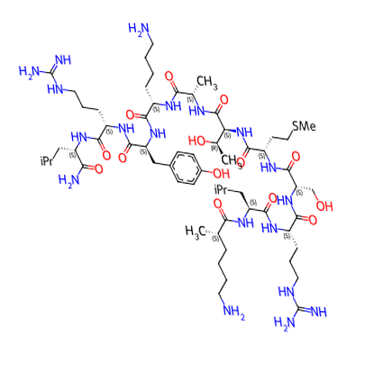 CSCC[C@H](NC(=O)[C@H](CO)NC(=O)[C@H](CCCNC(=N)N)NC(=O)[C@H](CC(C)C)NC(=O)[C@@H](C)CCCCN)C(=O)N[C@H](C(=O)N[C@@H](C)C(=O)N[C@@H](CCCCN)C(=O)N[C@@H](Cc1ccc(O)cc1)C(=O)N[C@@H](CCCNC(=N)N)C(=O)N[C@@H](CC(C)C)C(N)=O)[C@@H](C)O